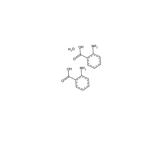 Nc1ccccc1C(=O)O.Nc1ccccc1C(=O)O.O